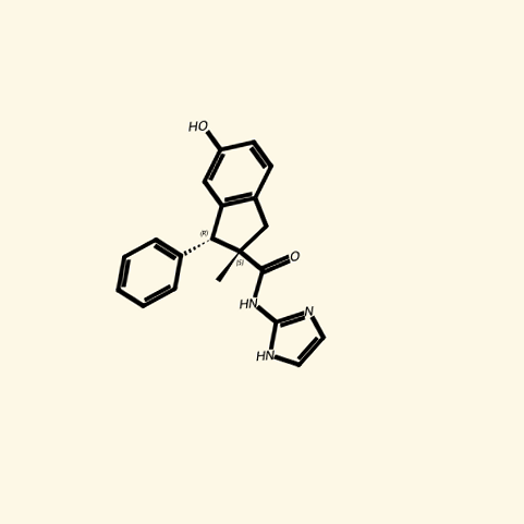 C[C@]1(C(=O)Nc2ncc[nH]2)Cc2ccc(O)cc2[C@H]1c1ccccc1